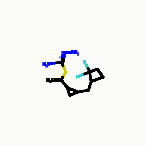 C=C(S/C(N)=N\N)C1CC1CC1CCC1(F)F